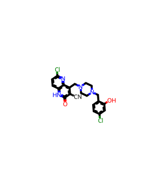 N#Cc1c(CN2CCN(Cc3ccc(Cl)cc3O)CC2)c2nc(Cl)ccc2[nH]c1=O